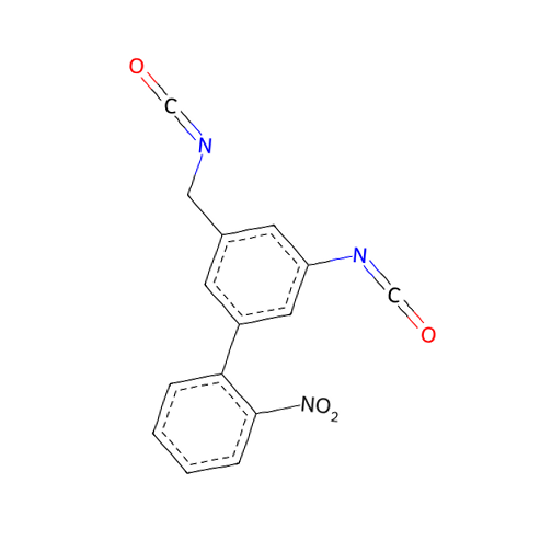 O=C=NCc1cc(N=C=O)cc(-c2ccccc2[N+](=O)[O-])c1